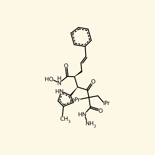 CCCC(CC(C)C)(C(=O)NN)C(=O)[C@@H](c1cc(C)c[nH]1)[C@H](C/C=C/c1ccccc1)C(=O)NO